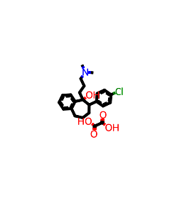 CN(C)CCCC1(O)c2ccccc2CCCC1c1ccc(Cl)cc1.O=C(O)C(=O)O